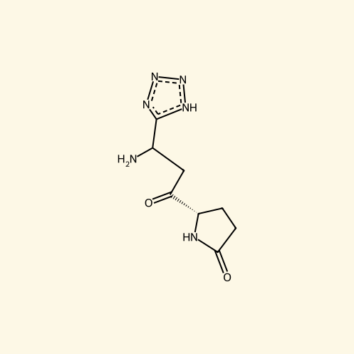 NC(CC(=O)[C@@H]1CCC(=O)N1)c1nnn[nH]1